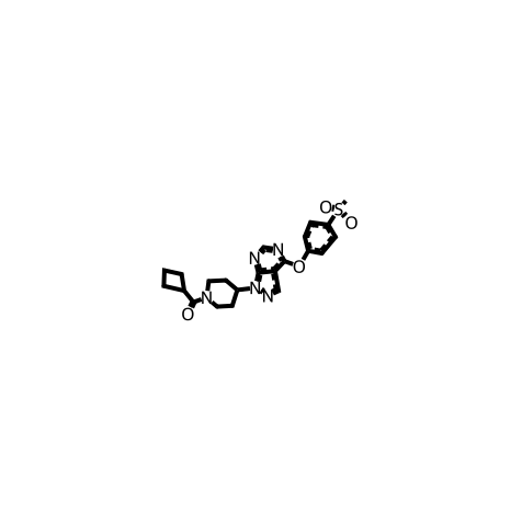 CS(=O)(=O)c1ccc(Oc2ncnc3c2cnn3C2CCN(C(=O)C3CCC3)CC2)cc1